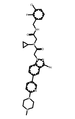 CC(=O)c1nn(CC(=O)N(CC(=O)NCc2cccc(Cl)c2F)C2CC2)c2ccc(-c3ccc(N4CCN(C)CC4)nc3)cc12